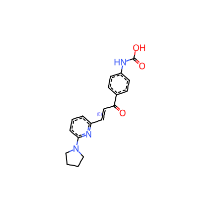 O=C(O)Nc1ccc(C(=O)/C=C/c2cccc(N3CCCC3)n2)cc1